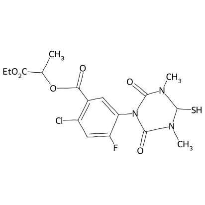 CCOC(=O)C(C)OC(=O)c1cc(N2C(=O)N(C)C(S)N(C)C2=O)c(F)cc1Cl